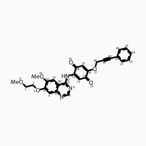 COCCOc1cc2ncnc(NC3=CC(=O)C(OCC#Cc4ccccc4)=CC3=O)c2cc1OC